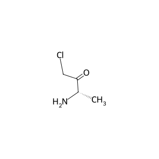 C[C@H](N)C(=O)CCl